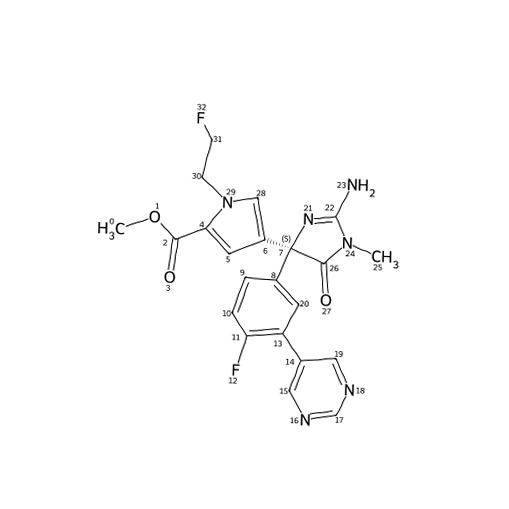 COC(=O)c1cc([C@]2(c3ccc(F)c(-c4cncnc4)c3)N=C(N)N(C)C2=O)cn1CCF